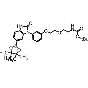 CC(C)(C)OC(=O)NCCOCCOc1cccc(-n2c(=O)[nH]c3ccc(B4OC(C)(C)C(C)(C)O4)cc32)c1